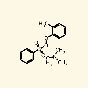 CN(C)C.Cc1ccccc1OOS(=O)(=O)c1ccccc1